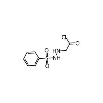 O=C(Cl)CNNS(=O)(=O)c1ccccc1